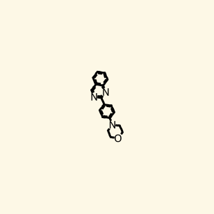 c1ccc2nc(-c3ccc(N4CCOCC4)cc3)ncc2c1